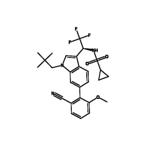 COc1cccc(C#N)c1-c1ccc2c([C@H](NS(=O)(=O)C3CC3)C(F)(F)F)cn(CC(C)(C)C)c2c1